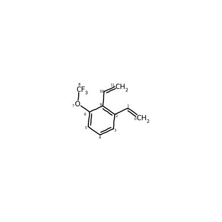 C=[C]c1cccc(OC(F)(F)F)c1C=C